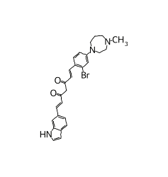 CN1CCCN(c2ccc(C=CC(=O)CC(=O)C=Cc3ccc4cc[nH]c4c3)c(Br)c2)CC1